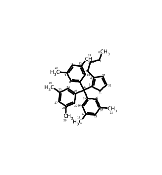 CCCCC1=C(C(c2cc(C)cc(C)c2)(c2cc(C)cc(C)c2)c2cc(C)cc(C)c2)CC=C1